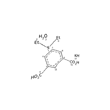 CCSCC.O.O=C(O)c1cccc(C(=O)O)c1.[KH]